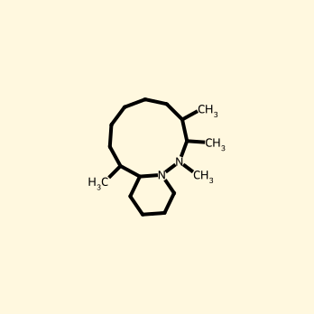 CC1CCCCCC(C)C2CCCCN2N(C)C1C